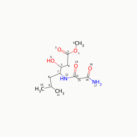 COC(=O)CC(O)C(CC(C)C)NC(=O)[CH]C(N)=O